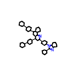 c1ccc(-c2ccc(-c3cc4c(-c5ccc(-c6ccccc6)cc5)cc(-c5ccc(-n6c(-c7ccccc7)nc7ccccc76)cc5)nc4c4ccccc34)cc2)cc1